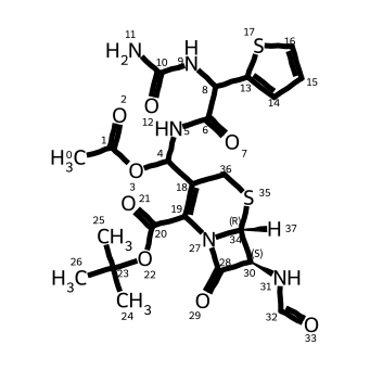 CC(=O)OC(NC(=O)C(NC(N)=O)c1cccs1)C1=C(C(=O)OC(C)(C)C)N2C(=O)[C@H](NC=O)[C@H]2SC1